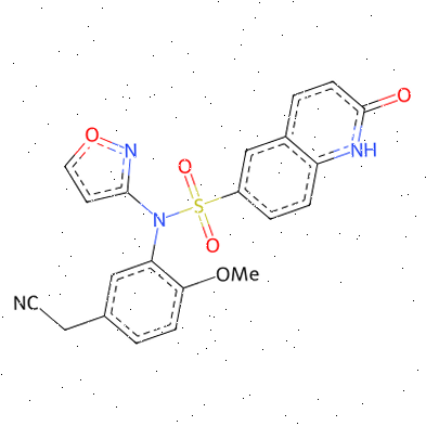 COc1ccc(CC#N)cc1N(c1ccon1)S(=O)(=O)c1ccc2[nH]c(=O)ccc2c1